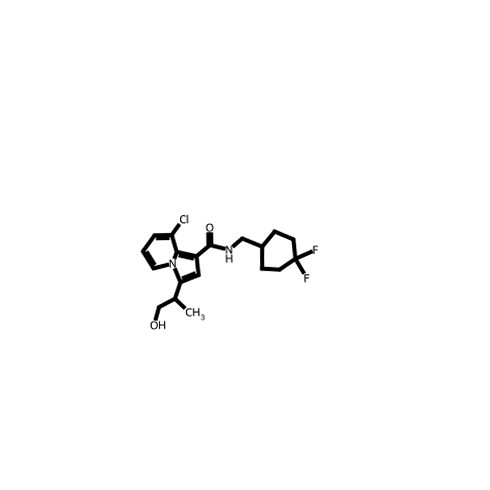 CC(CO)c1cc(C(=O)NCC2CCC(F)(F)CC2)c2c(Cl)cccn12